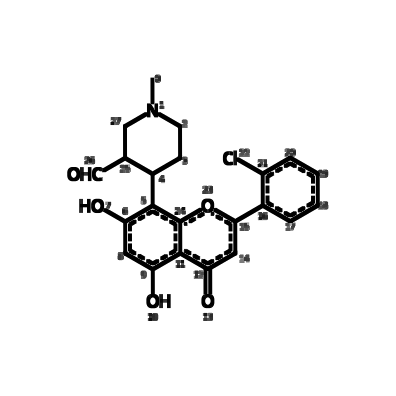 CN1CCC(c2c(O)cc(O)c3c(=O)cc(-c4ccccc4Cl)oc23)C(C=O)C1